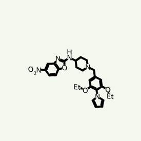 CCOc1cc(CN2CCC(Nc3nc4cc([N+](=O)[O-])ccc4o3)CC2)cc(OCC)c1-n1cccc1